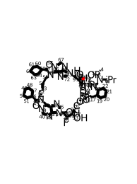 CC(C)N(C(C)C)P(C)OC[C@H]1O[C@@H]2[C@H](F)[C@@H]1O[P@@](=O)(SCc1ccccc1[N+](=O)[O-])OC[C@H]1OC([C@H](F)[C@@H]1O)n1cnc3c(ncnc31)N(C(=O)c1ccccc1)C/C=C/CN(C(=O)c1ccccc1)c1ncnc3c1ncn32